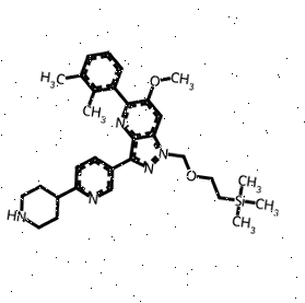 COc1cc2c(nc1-c1cccc(C)c1C)c(-c1ccc(C3CCNCC3)nc1)nn2COCC[Si](C)(C)C